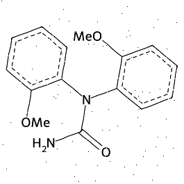 COc1ccccc1N(C(N)=O)c1ccccc1OC